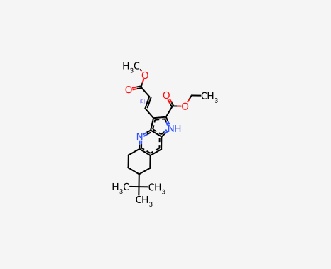 CCOC(=O)c1[nH]c2cc3c(nc2c1/C=C/C(=O)OC)CCC(C(C)(C)C)C3